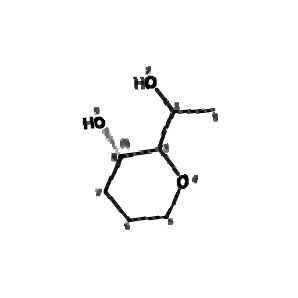 CC(O)C1OCCC[C@@H]1O